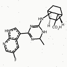 CC1N=C(c2c[nH]c3ncc(F)cc23)N=C(N[C@H]2C3CCC(CC3)[C@@H]2C(=O)O)N1